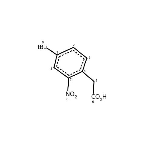 CC(C)(C)c1ccc(CC(=O)O)c([N+](=O)[O-])c1